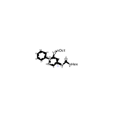 CCCCCCCCOc1c/c(=N\C(=O)CCCCCC)cnn1-c1ccccc1